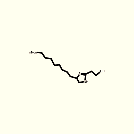 CCCCCCCCCCCCCCCCCC1CNC(CCO)=N1